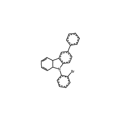 Brc1ccccc1N1c2ccc(-c3ccccc3)cc2C2C=CC=CC21